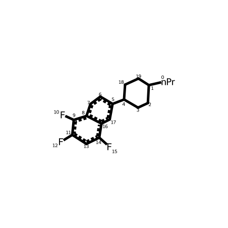 CCCC1CCC(c2ccc3c(F)c(F)cc(F)c3c2)CC1